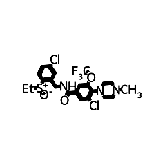 CC[S+]([O-])c1ccc(Cl)cc1CNC(=O)c1cc(Cl)c(N2CCN(C)CC2)c(OC(F)(F)F)c1